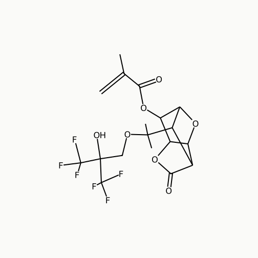 C=C(C)C(=O)OC1C2OC(=O)C3C2OC1C3C(C)(C)OCC(O)(C(F)(F)F)C(F)(F)F